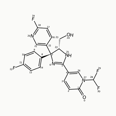 O=c1ccc(C2=N[C@](c3ccc(F)cc3)(c3ccc(F)nc3)[C@H](CO)N2)cn1C(F)F